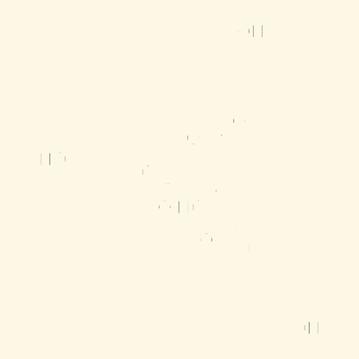 O=C(CC(O)(CC(=O)OCCCO)CC(=O)OCCCO)OCCCO